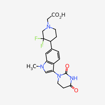 Cn1cc(N2CCC(=O)NC2=O)c2ccc(C3CCN(CC(=O)O)CC3(F)F)cc21